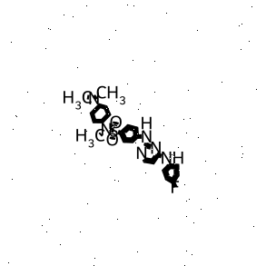 CN(C)[C@H]1CC[C@H](N(C)S(=O)(=O)c2ccc(Nc3nccc(Nc4ccc(F)cc4)n3)cc2)CC1